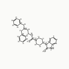 O=c1[nH]c2ccccc2n1C1CCN(C(=S)OCCN(Cc2ccccc2)Cc2ccccc2)CC1